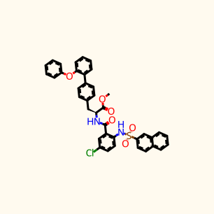 COC(=O)[C@H](Cc1ccc(-c2ccccc2Oc2ccccc2)cc1)NC(=O)c1cc(Cl)ccc1NS(=O)(=O)c1ccc2ccccc2c1